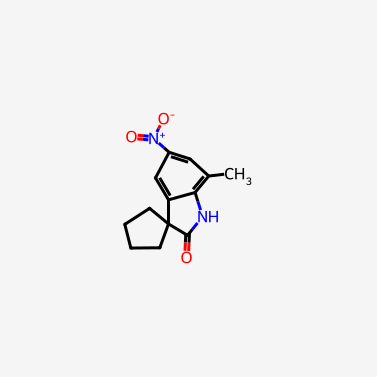 Cc1cc([N+](=O)[O-])cc2c1NC(=O)C21CCCC1